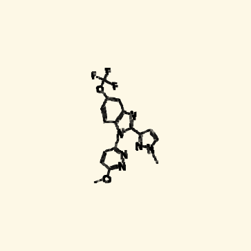 COc1ccc(-n2c(-c3ccn(C)n3)nc3cc(OC(F)(F)F)ccc32)nn1